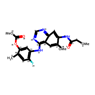 COCC(=O)Nc1cc2ncnc(Nc3cc(OC(=O)OC)c(C)cc3F)c2cc1OC